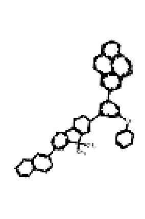 CC1(C)C2=C(CCC(c3cc(OC4=CC=CCC4)cc(-c4cc5ccc6cccc7ccc(c4)c5c67)c3)=C2)c2ccc(C3=CC4=C(C=CCC4)CC3)cc21